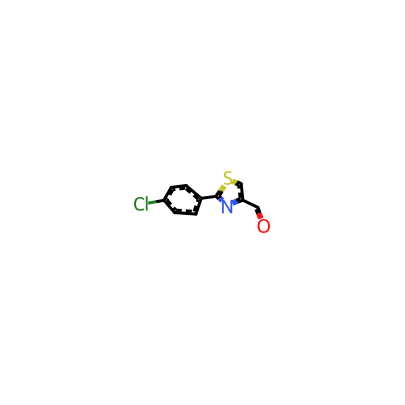 O=Cc1csc(-c2ccc(Cl)cc2)n1